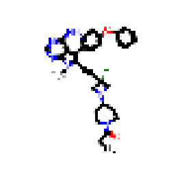 C=CC(=O)N1CCC(N2CC(F)(C#Cc3c(-c4ccc(Oc5ccccc5)cc4)c4c(N)ncnc4n3C)C2)CC1